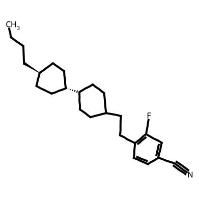 CCCC[C@H]1CC[C@H](C2CCC(CCc3ccc(C#N)cc3F)CC2)CC1